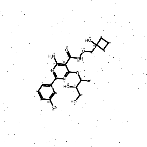 C[C@H](Oc1nc(-c2cccc(C#N)c2)nc(N)c1C(=O)NOCC1(O)CCC1)[C@H](O)CO